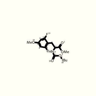 COC(=O)C(Cc1c(F)cc(OC)cc1F)NC(=O)OC(C)(C)C